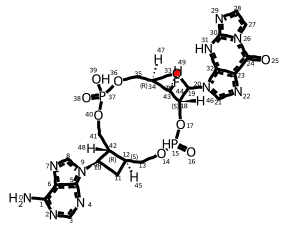 Nc1ncnc2c1ncn2[C@@H]1C[C@@H]2CO[PH](=O)O[C@H]3C(n4cnc5c(=O)n6ccnc6[nH]c54)O[C@H](COP(=O)(O)OC[C@H]21)[C@H]3F